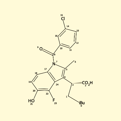 CCC(C)C[C@@H](C(=O)O)c1c(C)n(C(=O)c2cccc(Cl)c2)c2ccc(O)c(F)c12